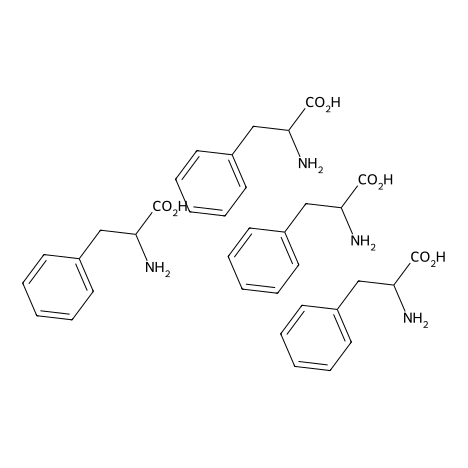 NC(Cc1ccccc1)C(=O)O.NC(Cc1ccccc1)C(=O)O.NC(Cc1ccccc1)C(=O)O.NC(Cc1ccccc1)C(=O)O